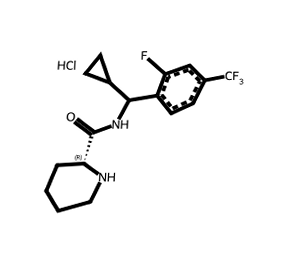 Cl.O=C(NC(c1ccc(C(F)(F)F)cc1F)C1CC1)[C@H]1CCCCN1